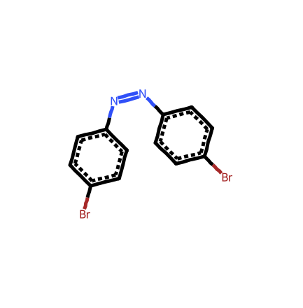 Brc1ccc(/N=N\c2ccc(Br)cc2)cc1